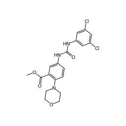 COC(=O)c1cc(NC(=O)Nc2cc(Cl)cc(Cl)c2)ccc1N1CCOCC1